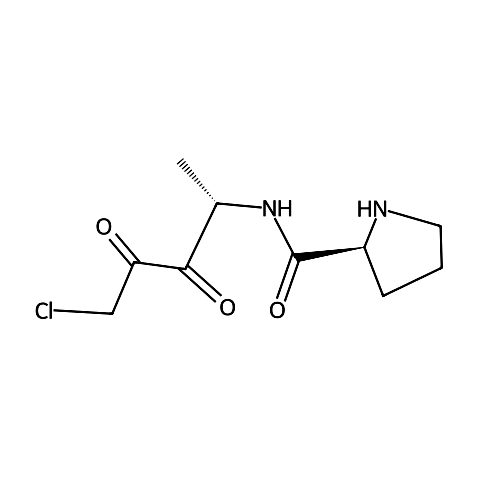 C[C@H](NC(=O)[C@@H]1CCCN1)C(=O)C(=O)CCl